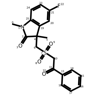 CN1C(=O)C(C)(CS(=O)(=O)CC(=O)c2ccccc2)c2cc(F)ccc21